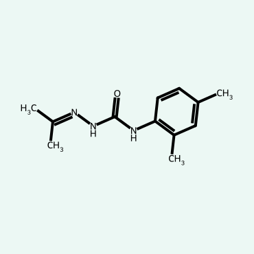 CC(C)=NNC(=O)Nc1ccc(C)cc1C